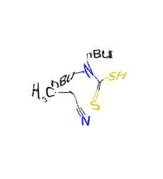 CCC#N.CCCCN(CCCC)C(=S)S